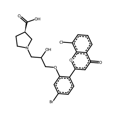 O=C(O)[C@@H]1CCN(CC(O)COc2cc(Br)ccc2-c2cc(=O)c3cccc(Cl)c3o2)C1